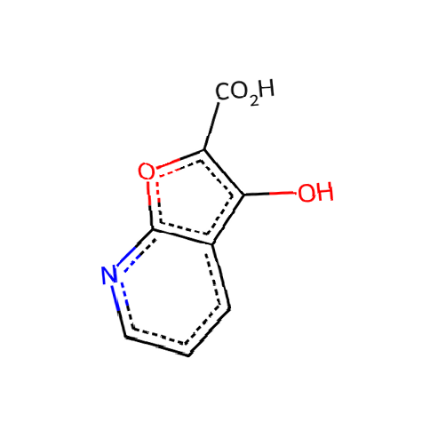 O=C(O)c1oc2ncccc2c1O